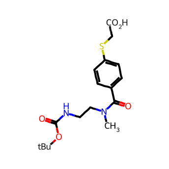 CN(CCNC(=O)OC(C)(C)C)C(=O)c1ccc(SCC(=O)O)cc1